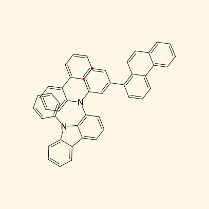 c1ccc(-c2ccccc2N(c2cccc(-c3cccc4c3ccc3ccccc34)c2)c2cccc3c4ccccc4n(-c4ccccc4)c23)cc1